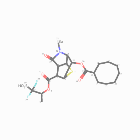 CC(OC(=O)C1C2SC3C1C(=O)N(C(C)(C)C)C3C2OC(=O)C1CCCCCCC1)C(F)(F)S(=O)(=O)O